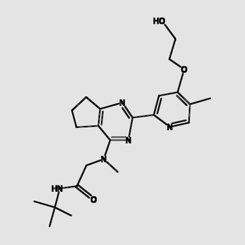 Cc1cnc(-c2nc3c(c(N(C)CC(=O)NC(C)(C)C)n2)CCC3)cc1OCCO